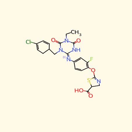 CCn1c(=O)[nH]/c(=N\c2ccc(OC3=NCC(C(=O)O)S3)c(F)c2)n(CC2C=CC(Cl)=CC2)c1=O